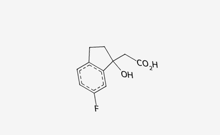 O=C(O)CC1(O)CCc2ccc(F)cc21